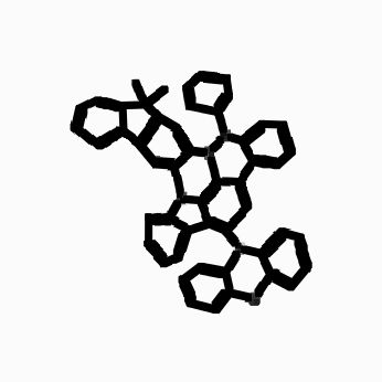 CC1(C)c2ccccc2-c2cc3c(cc21)B1c2c(cc(N4c5ccccc5Oc5ccccc54)c4c5ccccc5n-3c24)-c2ccccc2N1c1ccccc1